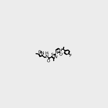 Cc1cc(CNC(=O)c2sc(-n3ccn(C(C)c4ccc(F)cc4)c3=O)nc2C)no1